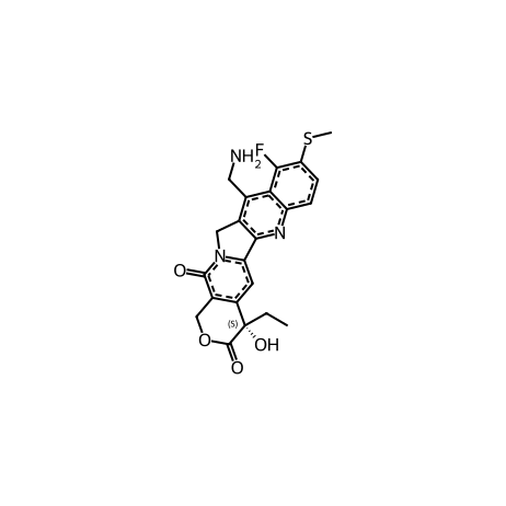 CC[C@@]1(O)C(=O)OCc2c1cc1n(c2=O)Cc2c-1nc1ccc(SC)c(F)c1c2CN